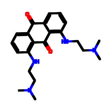 CN(C)CCNc1cccc2c1C(=O)c1c(NCCN(C)C)cccc1C2=O